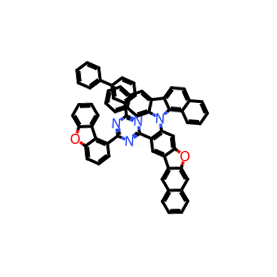 c1ccc(-c2cccc(-c3nc(-c4cc5c(cc4-n4c6cc7ccccc7cc6c6ccc7ccccc7c64)oc4cc6ccccc6cc45)nc(-c4cccc5oc6ccccc6c45)n3)c2)cc1